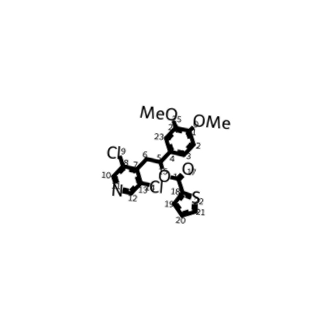 COc1ccc(C(Cc2c(Cl)cncc2Cl)OC(=O)c2cccs2)cc1OC